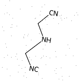 [C-]#[N+]CNCC#N